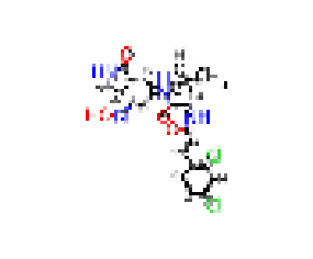 CC(C)(C)C[C@H](NC(=O)/C=C/c1ccc(Cl)cc1Cl)C(=O)NC(C/C=N/O)C[C@@H]1CCNC1=O